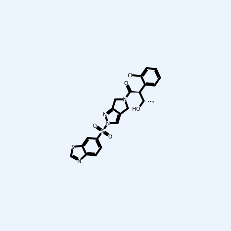 C[C@H](O)[C@@H](C(=O)N1Cc2cn(S(=O)(=O)c3ccc4ncsc4c3)nc2C1)c1ccccc1Cl